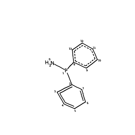 NP(C1=C=C=CC=C1)c1ccccc1